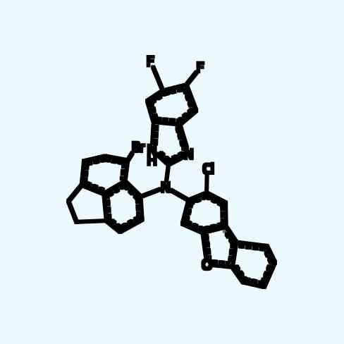 Fc1cc2nc(N(c3cc4oc5ccccc5c4cc3Cl)c3ccc4c5c(ccc(Br)c35)CC4)[nH]c2cc1F